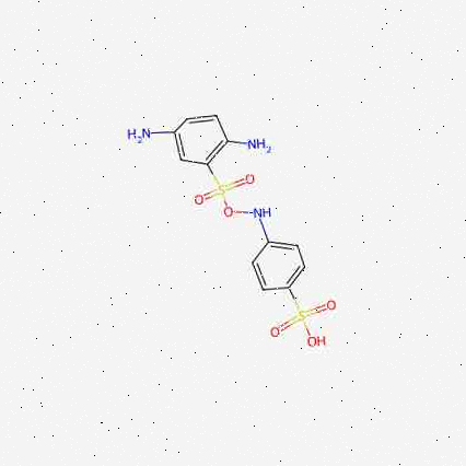 Nc1ccc(N)c(S(=O)(=O)ONc2ccc(S(=O)(=O)O)cc2)c1